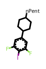 CCCCCC1CCC(c2cc(F)c(I)c(F)c2)CC1